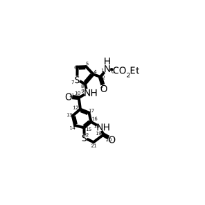 CCOC(=O)NC(=O)c1ccsc1NC(=O)c1ccc2c(c1)NC(=O)CS2